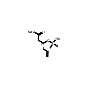 C=CC[C@H](CC(=O)OC)O[Si](C)(C)C(C)(C)C